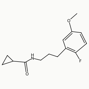 COc1ccc(F)c(CCCNC(=O)C2CC2)c1